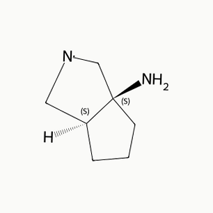 N[C@@]12CCC[C@H]1C[N]C2